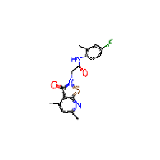 Cc1cc(C)c2c(=O)n(CC(=O)Nc3ccc(F)cc3C)sc2n1